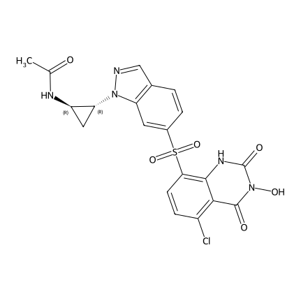 CC(=O)N[C@@H]1C[C@H]1n1ncc2ccc(S(=O)(=O)c3ccc(Cl)c4c(=O)n(O)c(=O)[nH]c34)cc21